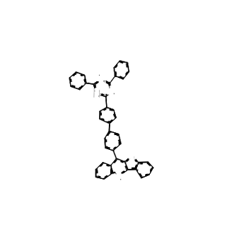 c1ccc(-c2nc(-c3ccccc3)nc(-c3ccc(-c4ccc(-c5c6ccccc6nc6c5sc5ccccc56)cc4)cc3)n2)cc1